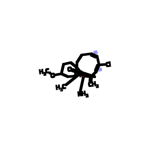 C=C1/C=C(Cl)\C=C/CCC2(CCC(OC)CC2)C12N=C(N)N(C)C2=O